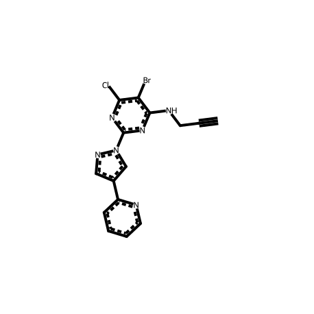 C#CCNc1nc(-n2cc(-c3ccccn3)cn2)nc(Cl)c1Br